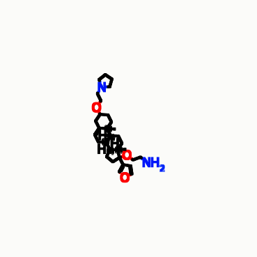 C[C@]12CCC(OCCN3CCCC3)CC1=CC[C@@H]1[C@H]2CC[C@@]2(C)[C@H]1CCC2(OCCN)c1ccoc1